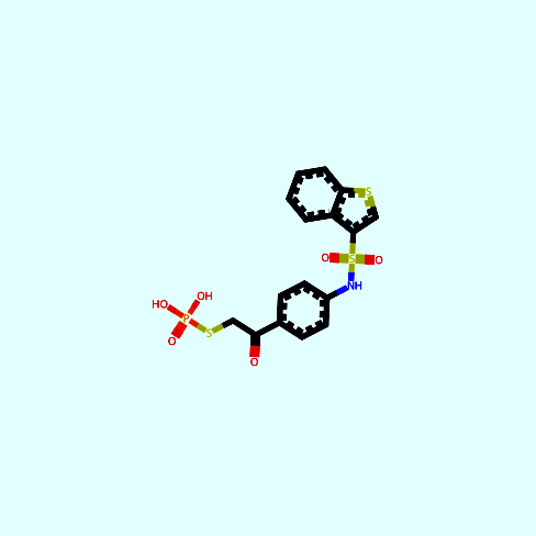 O=C(CSP(=O)(O)O)c1ccc(NS(=O)(=O)c2csc3ccccc23)cc1